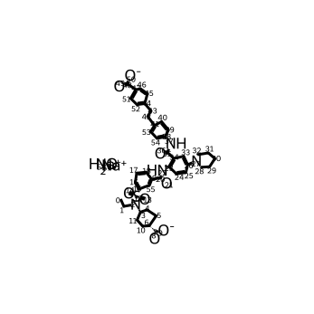 CCN([C@H]1CC[C@H](C(=O)[O-])CC1)S(=O)(=O)c1cccc(C(=O)Nc2ccc(N3CCCCC3)cc2C(=O)Nc2ccc(CCc3ccc(C(=O)[O-])cc3)cc2)c1.O.[Na+].[Na+]